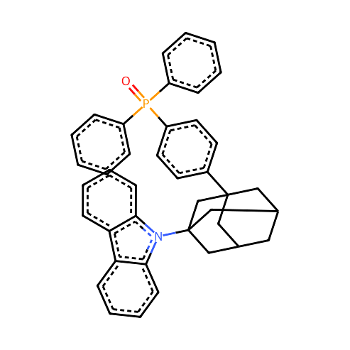 O=P(c1ccccc1)(c1ccccc1)c1ccc(C23CC4CC(C2)CC(n2c5ccccc5c5ccccc52)(C4)C3)cc1